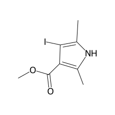 COC(=O)c1c(C)[nH]c(C)c1I